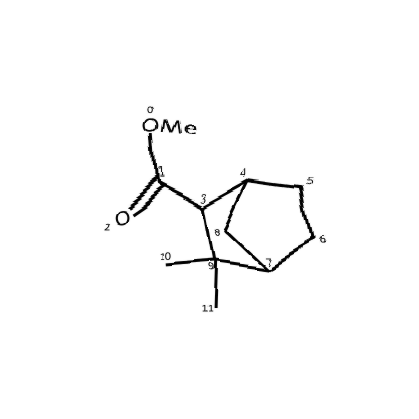 COC(=O)C1C2CCC(C2)C1(C)C